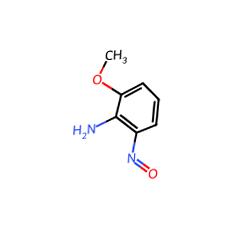 COc1cccc(N=O)c1N